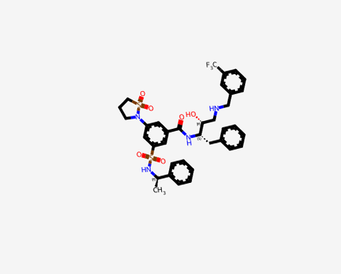 C[C@@H](NS(=O)(=O)c1cc(C(=O)N[C@@H](Cc2ccccc2)[C@H](O)CNCc2cccc(C(F)(F)F)c2)cc(N2CCCS2(=O)=O)c1)c1ccccc1